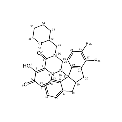 O=C1c2c(O)c(=O)ccn2N(C23c4ccccc4CC2Cc2c3ccc(F)c2F)CN1CC1CCCCO1